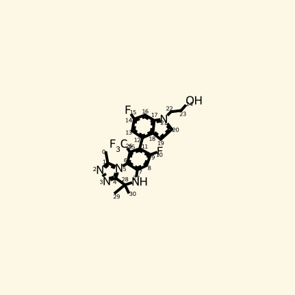 Cc1nnc2n1-c1c(cc(F)c(-c3cc(F)cc4c3ccn4CCO)c1C(F)(F)F)NC2(C)C